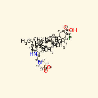 CC(C)[C@@H]1CC[C@]2(NCCN3CCS(=O)(=O)CC3)CC[C@]3(C)[C@H](CC[C@@H]4[C@@]5(C)CC=C(C6CCC(CF)(C(=O)O)CC6)C(C)(C)[C@@H]5CC[C@]43C)[C@@H]12